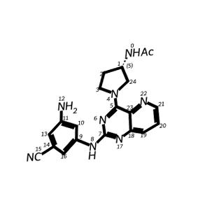 CC(=O)N[C@H]1CCN(c2nc(Nc3cc(N)cc(C#N)c3)nc3cccnc23)C1